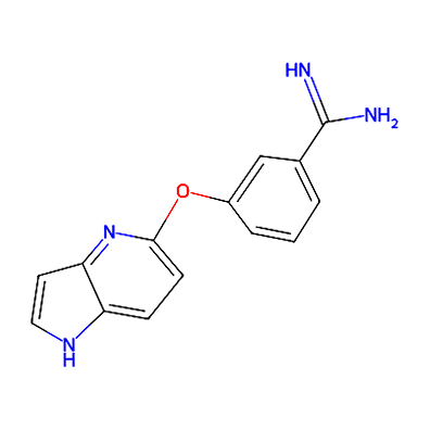 N=C(N)c1cccc(Oc2ccc3[nH]ccc3n2)c1